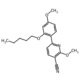 CCCCCOc1cc(OC)ccc1-c1ccc(C#N)c(OC)n1